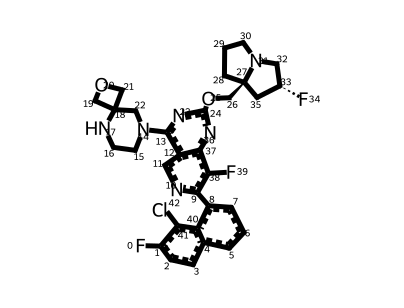 Fc1ccc2cccc(-c3ncc4c(N5CCNC6(COC6)C5)nc(OC[C@@]56CCCN5C[C@H](F)C6)nc4c3F)c2c1Cl